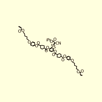 C=CC(=O)OCCCCCCOc1ccc(OC(=O)C2CCC(C(=O)Oc3ccc(OC(=O)C4CCC(C(=O)Oc5ccc(OCCCCCCOC(=O)C=C)cc5)CC4)c4c3SC(=C(C#N)C(=O)OC(C)C)S4)CC2)cc1